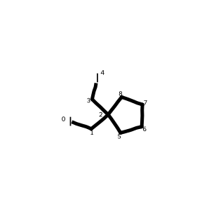 ICC1(CI)CCCC1